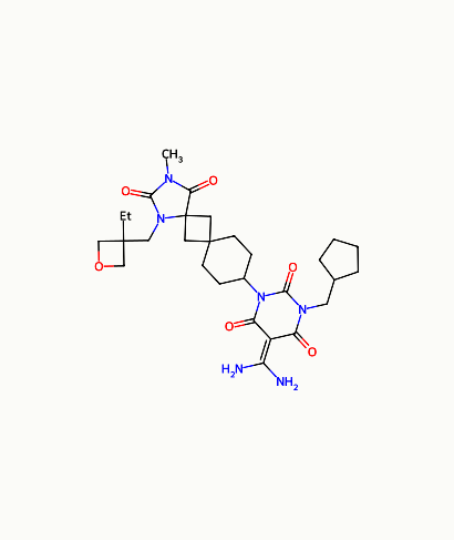 CCC1(CN2C(=O)N(C)C(=O)C23CC2(CCC(N4C(=O)C(=C(N)N)C(=O)N(CC5CCCC5)C4=O)CC2)C3)COC1